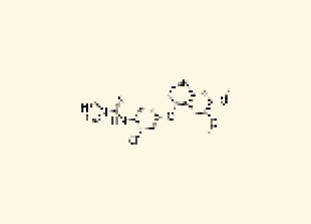 COc1cc2nccc(Oc3ccc(NC(=S)n4ccnc4)c(Cl)c3)c2cc1OC